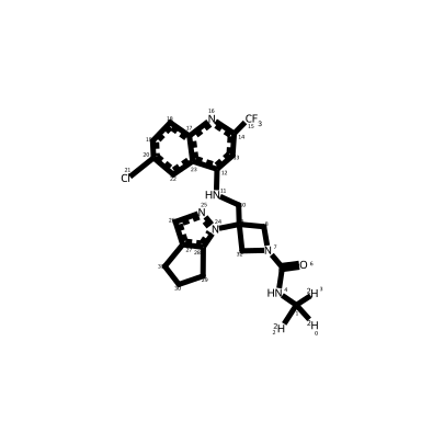 [2H]C([2H])([2H])NC(=O)N1CC(CNc2cc(C(F)(F)F)nc3ccc(Cl)cc23)(n2ncc3c2CCC3)C1